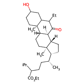 CCOC(=O)C(CC[C@@H](C)[C@H]1CC[C@H]2[C@@H]3C(=O)C(CC)C4CC(O)CC[C@]4(C)[C@H]3CC[C@]12C)C(C)C